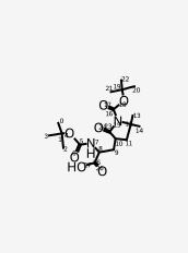 CC(C)(C)OC(=O)NC(CC1CC(C)(C)N(C(=O)OC(C)(C)C)C1=O)C(=O)O